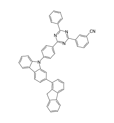 N#Cc1cccc(-c2nc(-c3ccccc3)nc(-c3ccc(-n4c5ccccc5c5ccc(-c6cccc7c6Cc6ccccc6-7)cc54)cc3)n2)c1